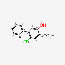 O=C(O)c1cc(Cl)c(-c2ccccc2)cc1O